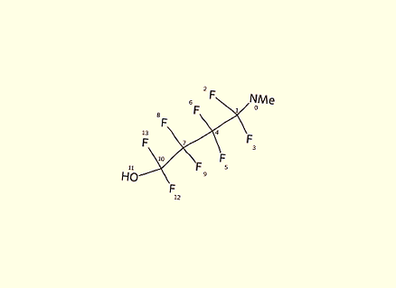 CNC(F)(F)C(F)(F)C(F)(F)C(O)(F)F